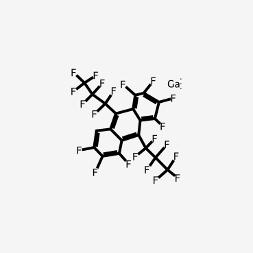 Fc1cc2c(C(F)(F)C(F)(F)C(F)(F)F)c3c(F)c(F)c(F)c(F)c3c(C(F)(F)C(F)(F)C(F)(F)F)c2c(F)c1F.[Ga]